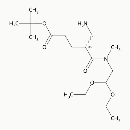 CCOC(CN(C)C(=O)[C@@H](CN)CCC(=O)OC(C)(C)C)OCC